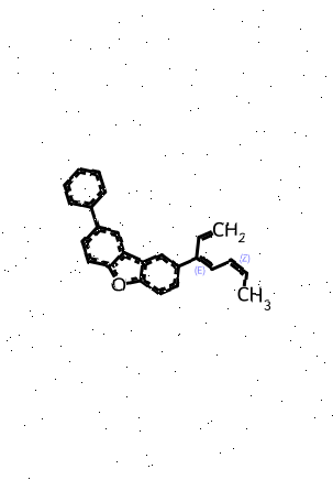 C=C/C(=C\C=C/C)c1ccc2oc3ccc(-c4ccccc4)cc3c2c1